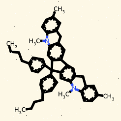 CCCCc1ccc(C2(c3ccc(CCCC)cc3)c3cc4c(cc3-c3cc5c(cc32)N(C)c2ccc(C)cc2C5)Cc2cc(C)ccc2N4C)cc1